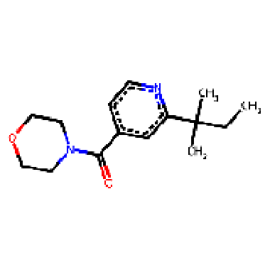 CCC(C)(C)c1cc(C(=O)N2CCOCC2)ccn1